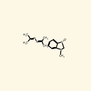 CC(C)=NN=C(C)C.CN1C[S+]([O-])c2ccccc21